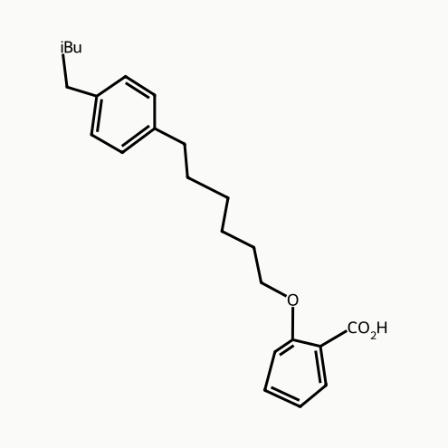 CCC(C)Cc1ccc(CCCCCCOc2ccccc2C(=O)O)cc1